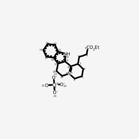 CCOC(=O)CCC1CCC[N+]2=C1c1[nH]c3ccccc3c1CC2.[O-][Cl+3]([O-])([O-])[O-]